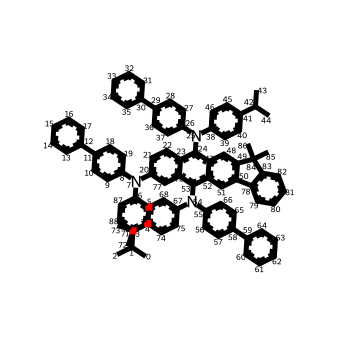 CC(C)c1ccc(N(c2ccc(-c3ccccc3)cc2)c2ccc3c(N(c4ccc(-c5ccccc5)cc4)c4ccc(C(C)C)cc4)c4cc5c(cc4c(N(c4ccc(-c6ccccc6)cc4)c4ccc(C(C)C)cc4)c3c2)-c2ccccc2C5(C)C)cc1